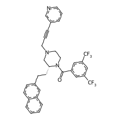 O=C(c1cc(C(F)(F)F)cc(C(F)(F)F)c1)N1CCN(CC#Cc2cccnc2)C[C@H]1CCc1ccc2ccccc2c1